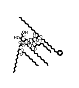 CCCCCCCCCCCCC(OC(=O)CCCCCCCCc1ccccc1)C(=O)N[C@@H](COC1OC(CO)C(O)C(OC(=O)C[C@@H](CCCCCCCCCCC)OC(=O)CCCCCCCCC)C1NC(=O)C[C@@H](CCCCCCCCCCC)OC(=O)CCCCCCCCC)C(=O)O